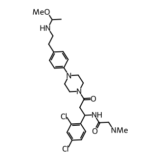 CNCC(=O)NC(CC(=O)N1CCN(c2ccc(CCNC(C)OC)cc2)CC1)c1ccc(Cl)cc1Cl